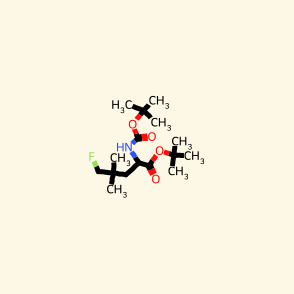 CC(C)(CF)CC(NC(=O)OC(C)(C)C)C(=O)OC(C)(C)C